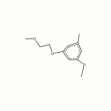 COCCOc1cc(C)cc(OC)c1